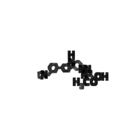 Cc1nc(N2CCc3[nH]c4cc(-c5cccc(CN6CCCC6)c5)ccc4c3C2)ncc1C(=O)O